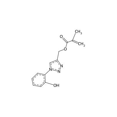 C=C(C)C(=O)OCc1cn(-c2ccccc2O)nn1